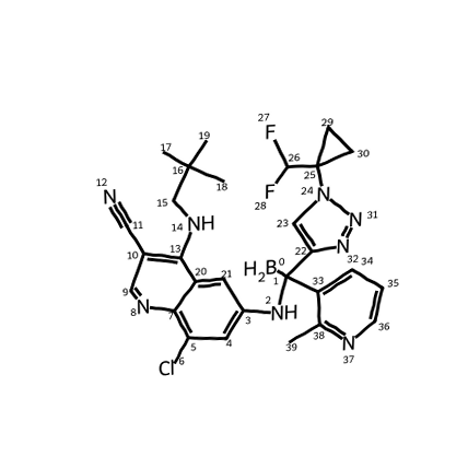 BC(Nc1cc(Cl)c2ncc(C#N)c(NCC(C)(C)C)c2c1)(c1cn(C2(C(F)F)CC2)nn1)c1cccnc1C